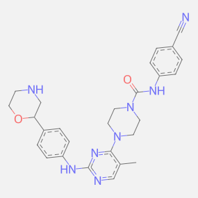 Cc1cnc(Nc2ccc(C3CNCCO3)cc2)nc1N1CCN(C(=O)Nc2ccc(C#N)cc2)CC1